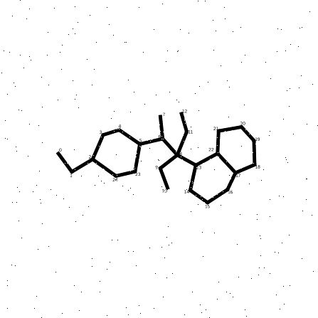 CCC1CCC(C(C)C(CC)(CC)C2CCCC3CCCCC32)CC1